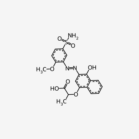 COc1ccc(S(N)(=O)=O)cc1/N=N/c1cc(OC(C)C(=O)O)c2ccccc2c1O